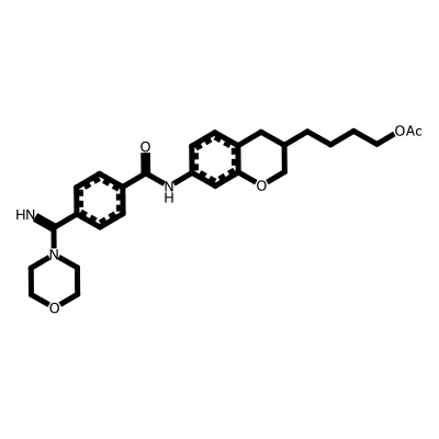 CC(=O)OCCCCC1COc2cc(NC(=O)c3ccc(C(=N)N4CCOCC4)cc3)ccc2C1